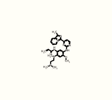 C=CC(=O)Nc1cc(Nc2nccc(-c3nc(C)c4ccccn34)n2)c(OC)cc1N(C)CCN(C)C